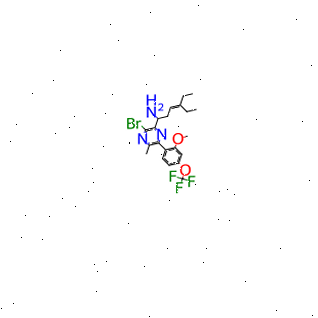 CCC(=CCC(N)c1nc(-c2ccc(OC(F)(F)F)cc2OC)c(C)nc1Br)CC